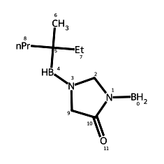 BN1CN(BC(C)(CC)CCC)CC1=O